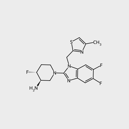 Cc1csc(Cn2c(N3CC[C@@H](F)[C@H](N)C3)nc3cc(F)c(F)cc32)n1